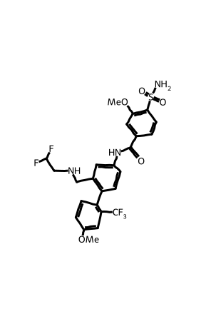 COc1ccc(-c2ccc(NC(=O)c3ccc(S(N)(=O)=O)c(OC)c3)cc2CNCC(F)F)c(C(F)(F)F)c1